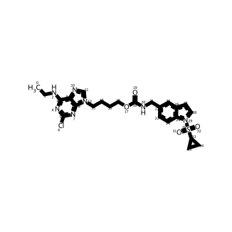 CCNc1nc(Cl)nc2c1ncn2CCCCOC(=O)NCc1ccc2c(ccn2S(=O)(=O)C2CC2)c1